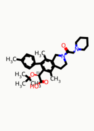 Cc1ccc(-c2c(C)c3c(c(C)c2[C@H](OC(C)(C)C)C(=O)O)CCN(C(=O)CN2CCCCC2)C3)cc1